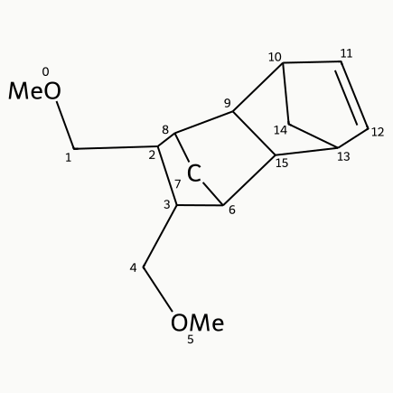 COCC1C(COC)C2CC1C1C3C=CC(C3)C21